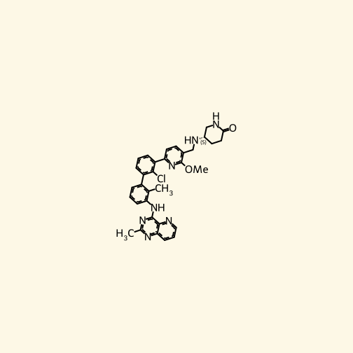 COc1nc(-c2cccc(-c3cccc(Nc4nc(C)nc5cccnc45)c3C)c2Cl)ccc1CN[C@H]1CCC(=O)NC1